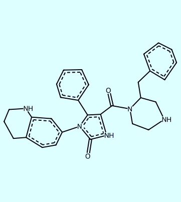 O=C(c1[nH]c(=O)n(-c2ccc3c(c2)NCCC3)c1-c1ccccc1)N1CCNCC1Cc1ccccc1